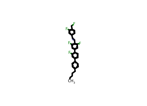 CCCCCc1ccc(-c2ccc(-c3cc(F)c(/C=C/c4ccc(CF)c(F)c4)c(F)c3)c(F)c2)cc1